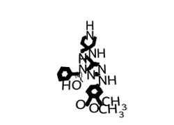 CC1(C)OC(=O)c2ccc(Nc3ncc(C4=NCC5(CCNCC5)N4)c(N[C@H](CO)c4ccccc4)n3)cc21